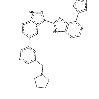 c1cc2[nH]c(-c3n[nH]c4ncc(-c5cncc(CN6CCCC6)c5)cc34)nc2c(-c2ccsc2)n1